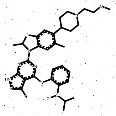 COCCN1CCC(c2cc3c(cc2C)N(c2nc(Nc4ccccc4[S+]([O-])C(C)C)c4c(C)n[nH]c4n2)C(C)O3)CC1